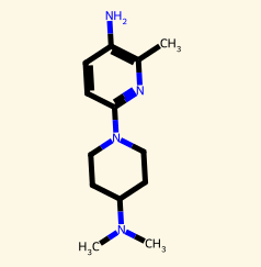 Cc1nc(N2CCC(N(C)C)CC2)ccc1N